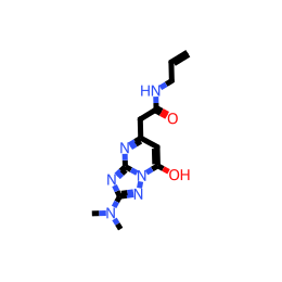 C=CCNC(=O)Cc1cc(O)n2nc(N(C)C)nc2n1